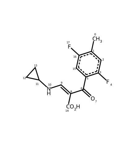 Cc1cc(F)c(C(=O)C(=CNC2CC2)C(=O)O)cc1F